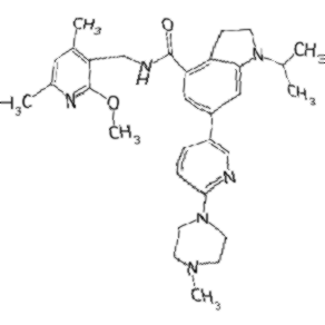 COc1nc(C)cc(C)c1CNC(=O)c1cc(-c2ccc(N3CCN(C)CC3)nc2)cc2c1CCN2C(C)C